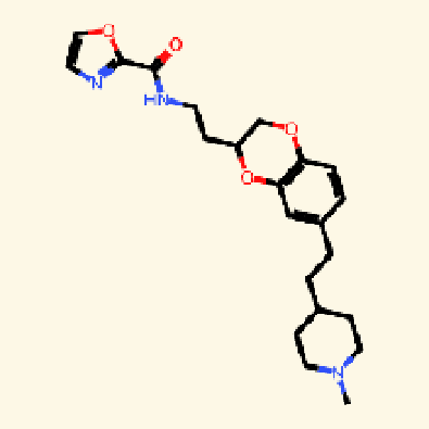 CN1CCC(CCc2ccc3c(c2)OC(CCNC(=O)c2ncco2)CO3)CC1